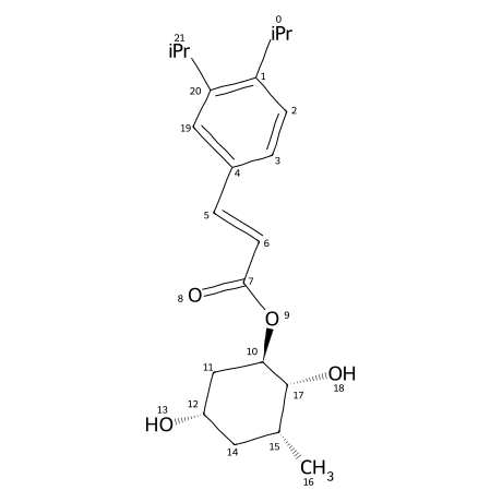 CC(C)c1ccc(/C=C/C(=O)O[C@@H]2C[C@@H](O)C[C@@H](C)[C@H]2O)cc1C(C)C